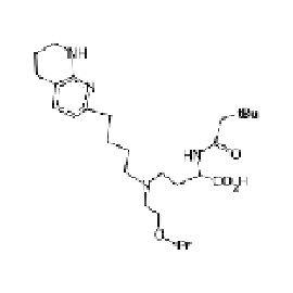 CC(C)OCCN(CCCCc1ccc2c(n1)NCCC2)CCC(NC(=O)CC(C)(C)C)C(=O)O